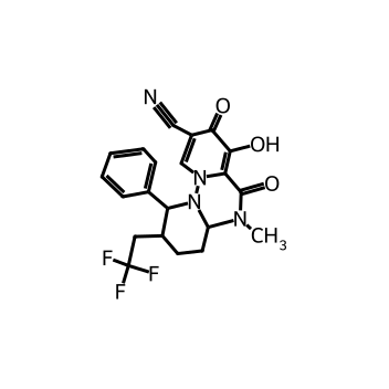 CN1C(=O)c2c(O)c(=O)c(C#N)cn2N2C(c3ccccc3)C(CC(F)(F)F)CCC12